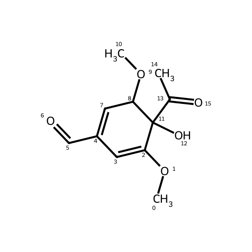 COC1=CC(C=O)=CC(OC)C1(O)C(C)=O